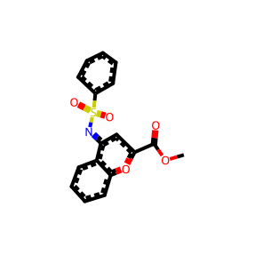 COC(=O)c1cc(=NS(=O)(=O)c2ccccc2)c2ccccc2o1